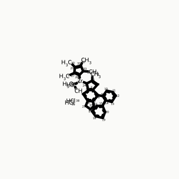 CC1=Cc2c(cc3c(c2-c2ccccc2-c2ccccc2)CCC3)[CH]1[Zr]([C]1=C(C)C(C)=C(C)C1C)[SiH](C)C.Cl.Cl